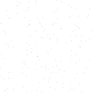 COCC(=O)N(CCC(N)CF)C(c1nc(-c2cccc(Cl)c2)cn1Cc1cccc(F)c1)C(C)C